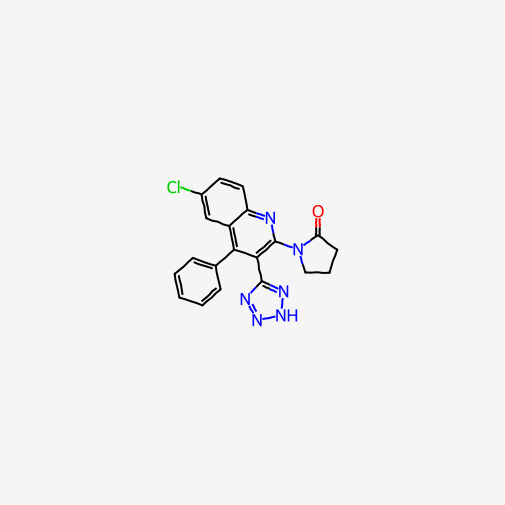 O=C1CCCN1c1nc2ccc(Cl)cc2c(-c2ccccc2)c1-c1nn[nH]n1